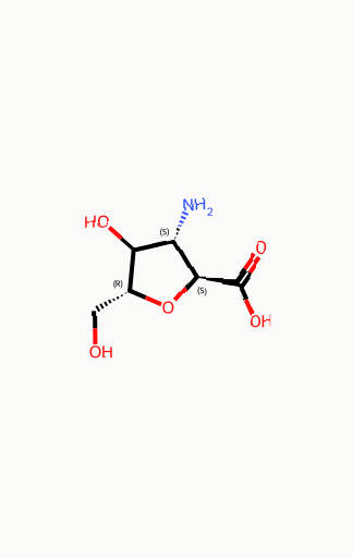 N[C@H]1C(O)[C@@H](CO)O[C@@H]1C(=O)O